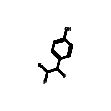 Oc1ccc(C(F)C(F)F)cc1